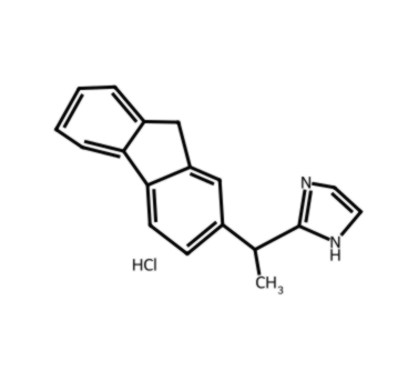 CC(c1ccc2c(c1)Cc1ccccc1-2)c1ncc[nH]1.Cl